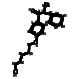 CCC(C(=O)c1ccc(OCCCCCCl)cc1)c1ccccc1